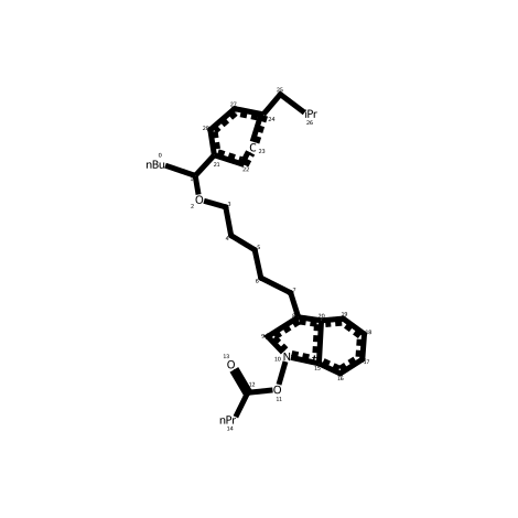 CCCCC(OCCCCCc1cn(OC(=O)CCC)c2ccccc12)c1ccc(CC(C)C)cc1